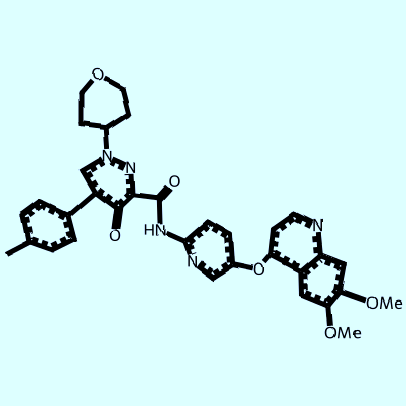 COc1cc2nccc(Oc3ccc(NC(=O)c4nn(C5CCOCC5)cc(-c5ccc(C)cc5)c4=O)nc3)c2cc1OC